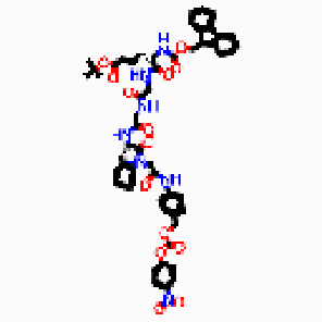 CC(C)(C)OC(=O)CCC[C@H](NC(=O)OCC1c2ccccc2-c2ccccc21)C(=O)NCC(=O)NCC(=O)N[C@@H](Cc1ccccc1)C(=O)NCC(=O)Nc1ccc(COC(=O)Oc2ccc([N+](=O)[O-])cc2)cc1